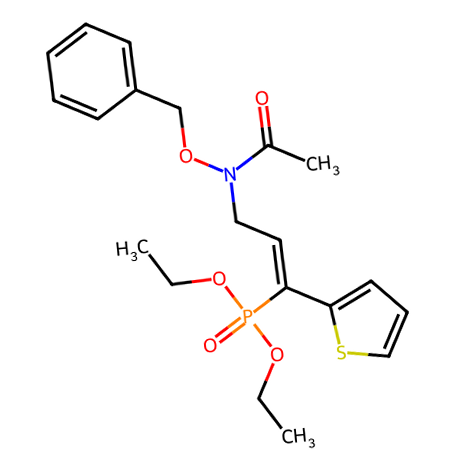 CCOP(=O)(OCC)C(=CCN(OCc1ccccc1)C(C)=O)c1cccs1